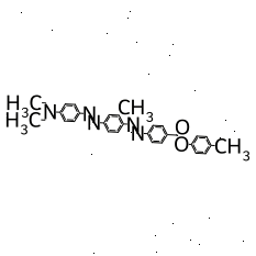 CCN(CC)c1ccc(N=Nc2ccc(N=Nc3ccc(C(=O)Oc4ccc(C)cc4)cc3)c(C)c2)cc1